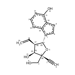 C#C[C@]1(CO)O[C@@H](n2cnc3c(O)ncnc32)[C@H](C=C)[C@@H]1O